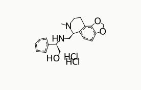 CN1CCc2c(ccc3c2OCO3)[C@H]1CN[C@@H](CO)c1ccccc1.Cl.Cl